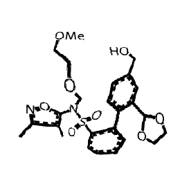 COCCOCN(c1onc(C)c1C)S(=O)(=O)c1ccccc1-c1ccc(CO)cc1C1OCCO1